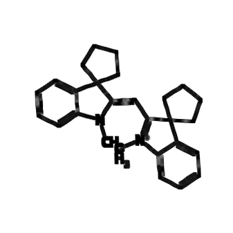 CN1C(=CC2=[N+](C)c3ccccc3C23CCCC3)C2(CCCC2)c2ccccc21